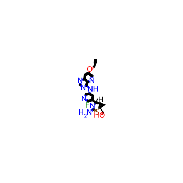 C#CCOc1cnc2c(Nc3cnc(F)c([C@@]4(C)N=C(N)S[C@@]5(CO)C[C@H]54)c3)ncnc2c1